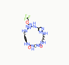 O=C1NCCCNc2ncc(cn2)Nc2nc(nc(OCC(F)(F)F)n2)NCc2ccc(cc2)NC(=O)NCN1